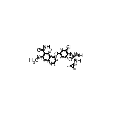 COc1cc2nccc(Oc3ccc(NP(=O)(O)NC4CC4)c(Cl)c3)c2cc1C(N)=O